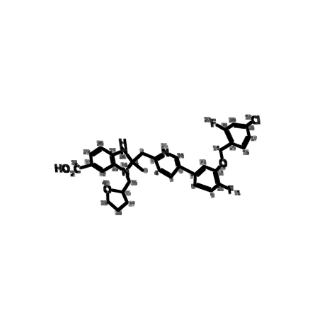 CC1(Cc2ccc(-c3ccc(F)c(OCc4ccc(Cl)cc4F)c3)cn2)Nc2ccc(C(=O)O)cc2N1CC1CCCO1